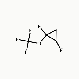 FC1CC1(F)OC(F)(F)F